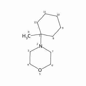 CC1(N2CCOCC2)CCCCC1